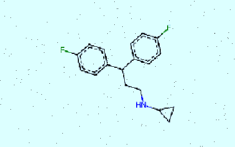 Fc1ccc(C(CCNC2CC2)c2ccc(F)cc2)cc1